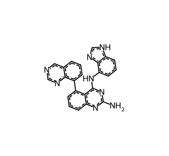 Nc1nc(Nc2cccc3[nH]cnc23)c2c(-c3cccc4cncnc34)cccc2n1